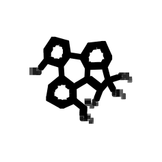 C=Cc1cccc2c1C1=C(C)C(C)(C)c3cccc(c31)-c1cccc(O)c1-2